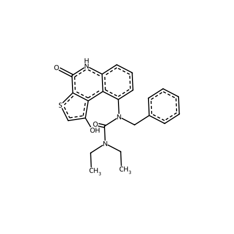 CCN(CC)C(=O)N(Cc1ccccc1)c1cccc2[nH]c(=O)c3scc(O)c3c12